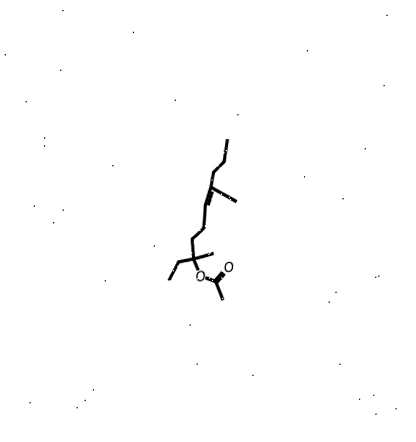 CCC/C(C)=C/CCC(C)(CC)OC(C)=O